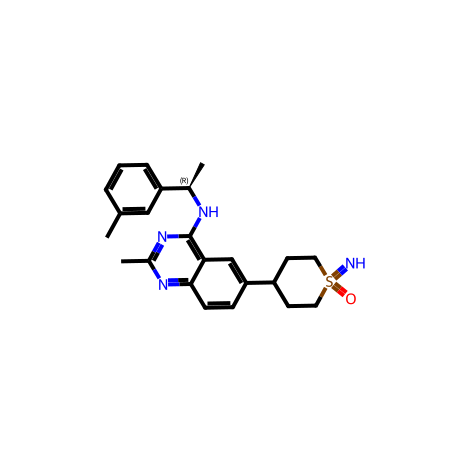 Cc1cccc([C@@H](C)Nc2nc(C)nc3ccc(C4CCS(=N)(=O)CC4)cc23)c1